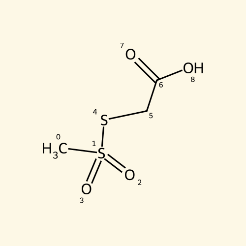 CS(=O)(=O)SCC(=O)O